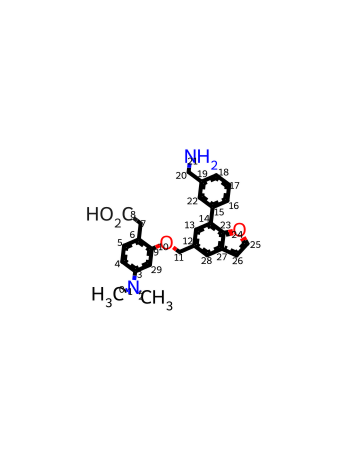 CN(C)c1ccc(CC(=O)O)c(OCc2cc(-c3cccc(CN)c3)c3occc3c2)c1